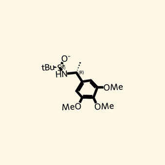 COc1cc([C@@H](C)N[S@@+]([O-])C(C)(C)C)cc(OC)c1OC